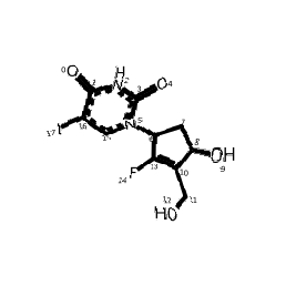 O=c1[nH]c(=O)n(C2CC(O)C(CO)=C2F)cc1I